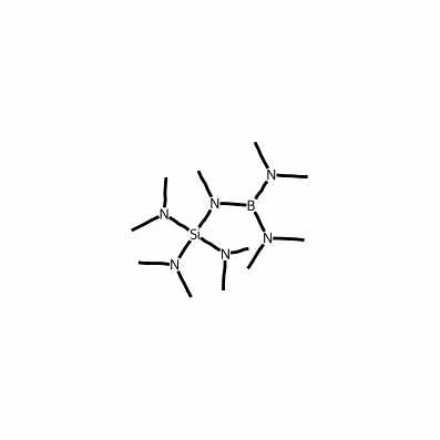 CN(C)B(N(C)C)N(C)[Si](N(C)C)(N(C)C)N(C)C